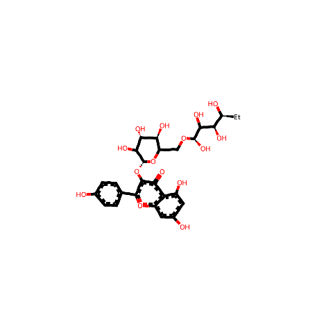 CC[C@H](O)[C@@H](O)C(O)[C@@H](O)OCC1O[C@H](Oc2c(-c3ccc(O)cc3)oc3cc(O)cc(O)c3c2=O)C(O)[C@H](O)[C@H]1O